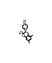 COC(=O)[C@H](Cc1c(C)cc(C)cc1C)N1CCN[C@@H](C)C1